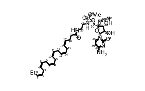 CC/C=C\C/C=C\C/C=C\C/C=C\C/C=C\C/C=C\CCC(=O)NCCNP(=O)(OC)OC[C@@]1(N=[N+]=[N-])O[C@@H](n2ccc(N)nc2=O)[C@H](O)[C@@H]1O